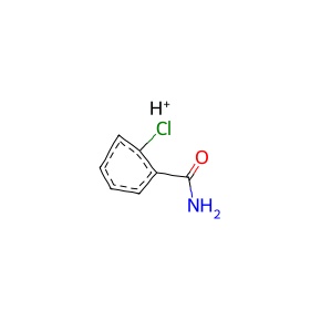 NC(=O)c1ccccc1Cl.[H+]